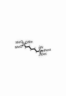 CCCCCCCCCC[N+](CCC)(CCCCC)CCCCC[Si](OC)(OC)OC